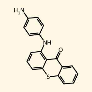 Nc1ccc(Nc2cccc3sc4ccccc4c(=O)c23)cc1